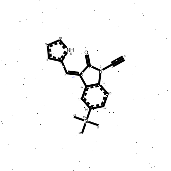 C#CN1C(=O)/C(=C\c2ccc[nH]2)c2cc([Si](C)(C)C)ccc21